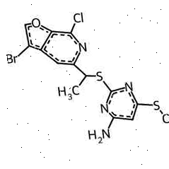 CSc1cc(N)nc(SC(C)c2cc3c(Br)coc3c(Cl)n2)n1